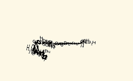 CC(C)(C)c1cc(-c2ccc(F)cc2)nn2cc(C(=O)N3CCN(C(=O)C4CCC(NC(=O)[C@H](O)[C@@H](O)[C@@H](O)[C@H](O)C(=O)NCCOCCOCCOCCOCCOCCOCCC(=O)N[C@@H](CC(=O)O)C(N)=O)CC4)CC3(C)C)nc12